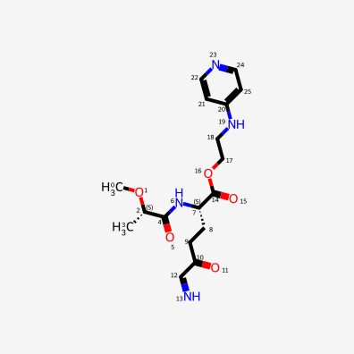 CO[C@@H](C)C(=O)N[C@@H](CCC(=O)C=N)C(=O)OCCNc1ccncc1